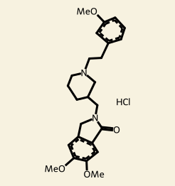 COc1cccc(CCN2CCCC(CN3Cc4cc(OC)c(OC)cc4C3=O)C2)c1.Cl